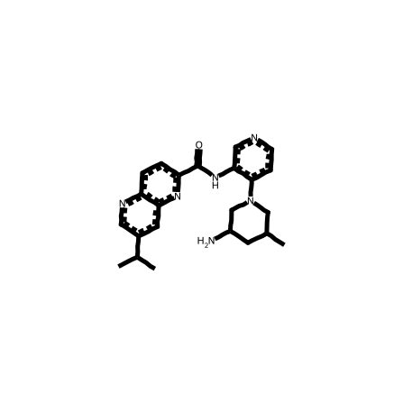 CC1CC(N)CN(c2ccncc2NC(=O)c2ccc3ncc(C(C)C)cc3n2)C1